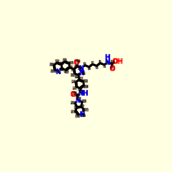 O=C(O)NCCCCCCn1nc(-c2ccc(NC(=O)N3Cc4ccncc4C3)cc2)cc(-c2ccc3cccnc3c2)c1=O